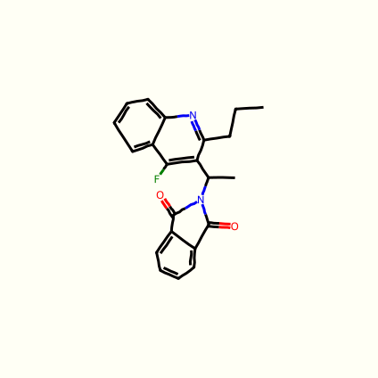 CCCc1nc2ccccc2c(F)c1C(C)N1C(=O)c2ccccc2C1=O